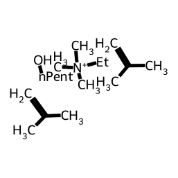 C=C(C)C.C=C(C)C.CCCCCO.CC[N+](C)(C)C